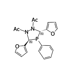 CC(=O)N1[C@H](c2ccco2)P(c2ccccc2)[C@@H](c2ccco2)N1C(C)=O